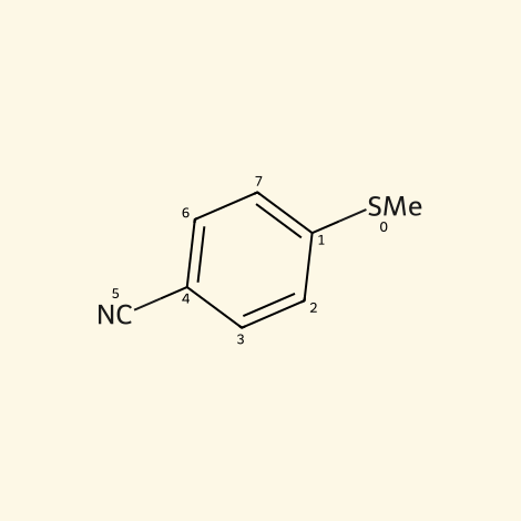 [CH2]Sc1ccc(C#N)cc1